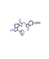 COc1ccc2c(Cc3nc4c(ccc5[nH]cc(C6CN7CCC6CC7)c54)[nH]3)c[nH]c2c1